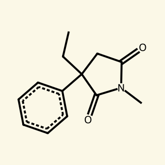 CCC1(c2ccccc2)CC(=O)N(C)C1=O